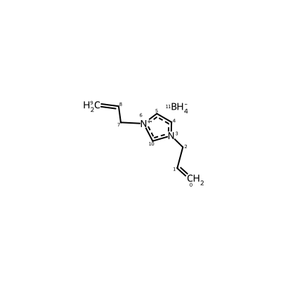 C=CCn1cc[n+](CC=C)c1.[BH4-]